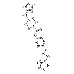 O=C(Oc1ccc(CCSc2ncc[nH]2)cc1)N1CCC(On2cccn2)CC1